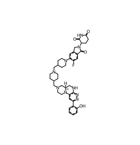 O=C1CCC(N2Cc3cc(N4CCC(CN5CCC(CN6CCN7c8cc(-c9ccccc9O)nnc8NC[C@H]7C6)CC5)CC4)c(F)cc3C2=O)C(=O)N1